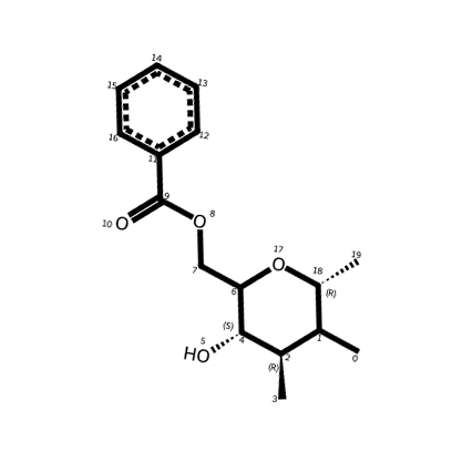 CC1[C@@H](C)[C@H](O)C(COC(=O)c2ccccc2)O[C@@H]1C